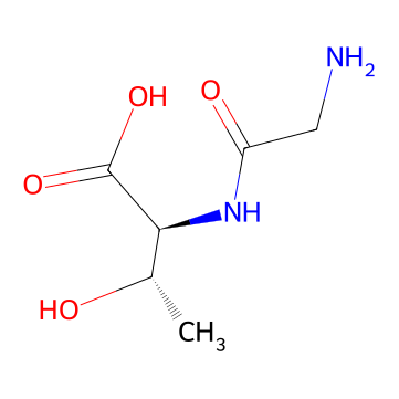 C[C@H](O)[C@H](NC(=O)CN)C(=O)O